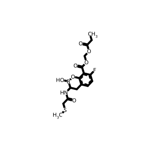 CCC(=O)OCOC(=O)c1c(F)ccc2c1OB(O)C(NC(=O)CSC)C2